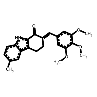 COc1cc(/C=C2\CCc3c([nH]c4ccc(C)cc34)C2=O)cc(OC)c1OC